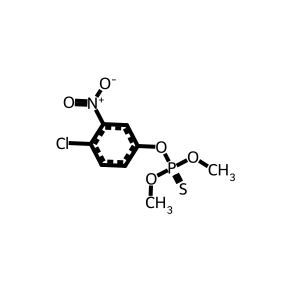 COP(=S)(OC)Oc1ccc(Cl)c([N+](=O)[O-])c1